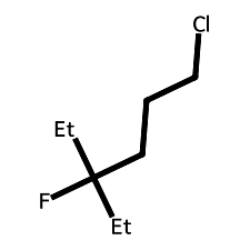 CCC(F)(CC)CCCCl